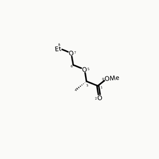 [CH2]OC(=O)[C@H](C)OCOCC